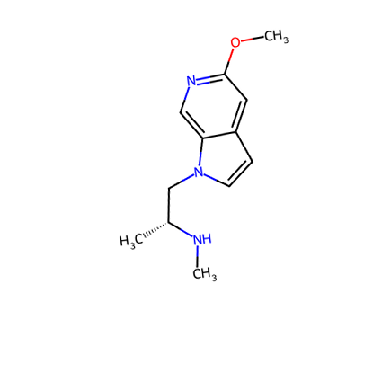 CN[C@H](C)Cn1ccc2cc(OC)ncc21